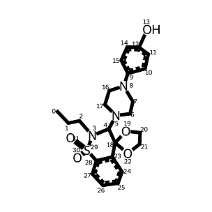 CCCN1C(N2CCN(c3ccc(O)cc3)CC2)C2(OCCO2)c2ccccc2S1(=O)=O